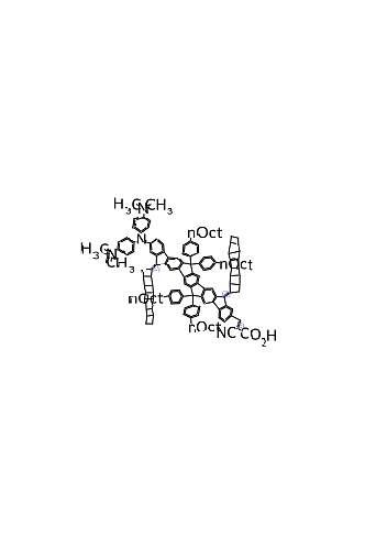 CCCCCCCCc1ccc(C2(c3ccc(CCCCCCCC)cc3)c3cc4c(cc3-c3cc5c(cc32)-c2cc3c(cc2C5(c2ccc(CCCCCCCC)cc2)c2ccc(CCCCCCCC)cc2)-c2ccc(N(c5ccc(N(C)C)cc5)c5ccc(N(C)C)cc5)cc2/C3=C2\CC3C2C2C3C3C5C6C7CCC7C6C5C23)/C(=C2/CC3C2C2C3C3C5C6C7CCC7C6C5C23)c2cc(/C=C(\C#N)C(=O)O)ccc2-4)cc1